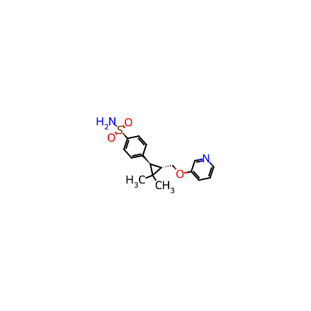 CC1(C)[C@@H](COc2cccnc2)[C@@H]1c1ccc(S(N)(=O)=O)cc1